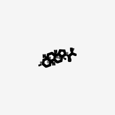 CC(Br)C(=O)[C@H]1CCC2[C@@H]3CC[C@@H]4C[C@@H](C)CC[C@@H]4C3CC[C@@]21C